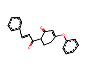 O=C1C=C(Oc2ccccc2)CCC1C(=O)/C=C/c1ccccc1